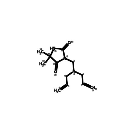 C=CCN(CC=C)CN1C(=O)NC(C)(C)C1=O